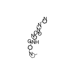 CC1CCCN(Cc2ccc(C(=O)Nc3ccc(OC(=O)N4CCN(Cc5cccnc5)CC4)nc3)cc2)C1